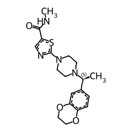 CNC(=O)c1cnc(N2CCN([C@@H](C)c3ccc4c(c3)OCCO4)CC2)s1